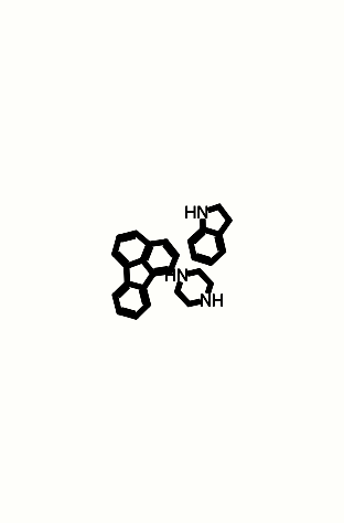 C1CNCCN1.c1ccc2c(c1)-c1cccc3cccc-2c13.c1ccc2c(c1)CCN2